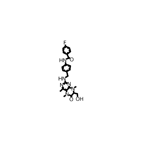 Cc1nc(NCc2ccc(NC(=O)c3ccc(F)cc3)cc2)nc2c1N(C)C(=O)C(CO)N2C